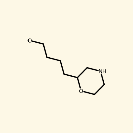 [O]CCCCC1CNCCO1